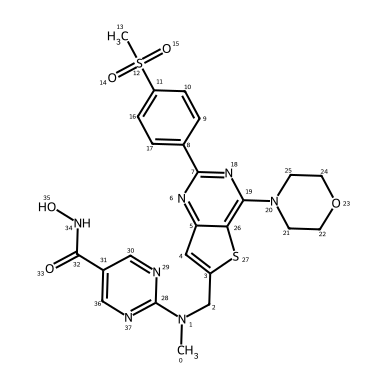 CN(Cc1cc2nc(-c3ccc(S(C)(=O)=O)cc3)nc(N3CCOCC3)c2s1)c1ncc(C(=O)NO)cn1